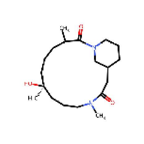 CC1CCC[C@](C)(O)CCCN(C)C(=O)CC2CCCN(C2)C1=O